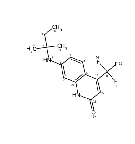 CCC(C)(C)Nc1ccc2c(C(F)(F)F)cc(=O)[nH]c2c1